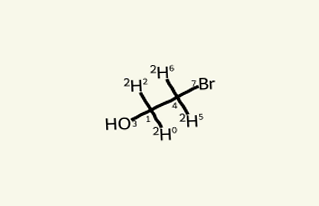 [2H]C([2H])(O)C([2H])([2H])Br